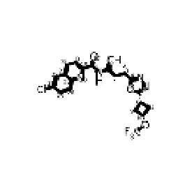 C=C(CCc1nnc([C@H]2C[C@@H](OC(F)(F)F)C2)o1)NC(=O)c1ccc2cc(Cl)ccc2n1